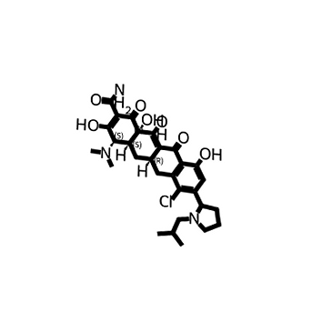 CC(C)CN1CCCC1c1cc(O)c2c(c1Cl)C[C@H]1C[C@H]3[C@H](N(C)C)C(O)=C(C(N)=O)C(=O)[C@@]3(O)C(O)=C1C2=O